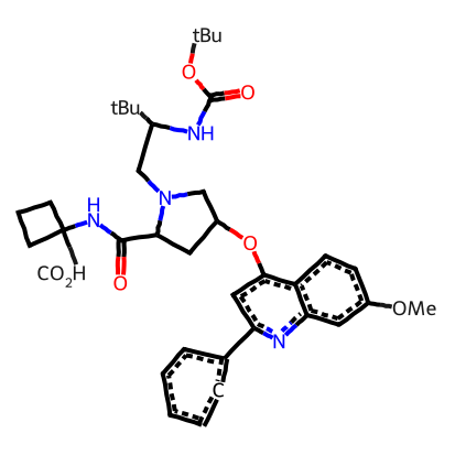 COc1ccc2c(OC3CC(C(=O)NC4(C(=O)O)CCC4)N(CC(NC(=O)OC(C)(C)C)C(C)(C)C)C3)cc(-c3ccccc3)nc2c1